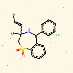 CCC=CC1(CC)CS(=O)(=O)c2ccccc2C(c2ccccc2)N1.Cl